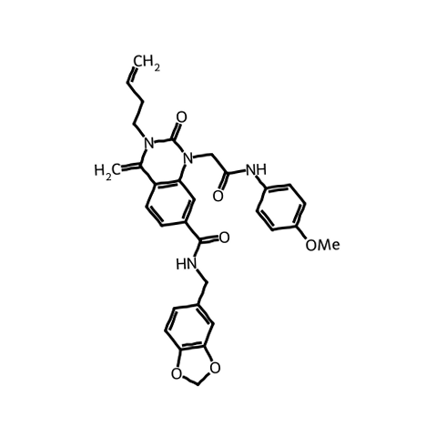 C=CCCN1C(=C)c2ccc(C(=O)NCc3ccc4c(c3)OCO4)cc2N(CC(=O)Nc2ccc(OC)cc2)C1=O